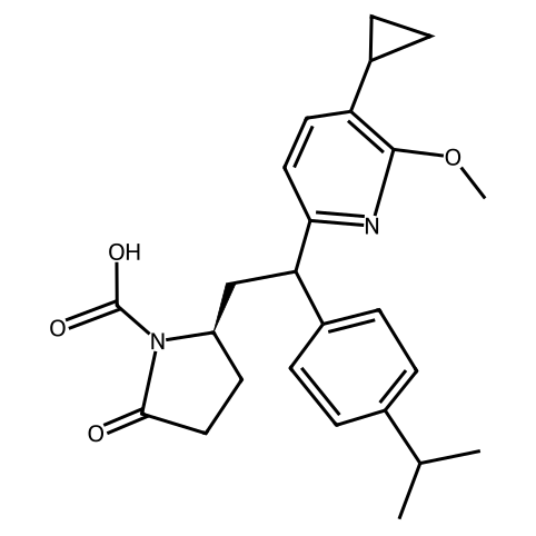 COc1nc(C(C[C@H]2CCC(=O)N2C(=O)O)c2ccc(C(C)C)cc2)ccc1C1CC1